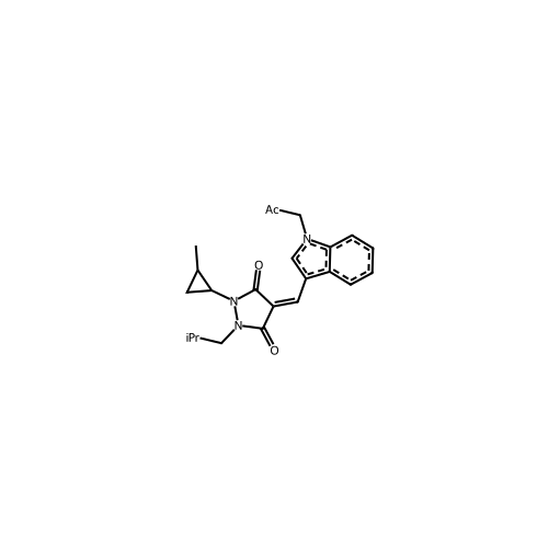 CC(=O)Cn1cc(/C=C2/C(=O)N(CC(C)C)N(C3CC3C)C2=O)c2ccccc21